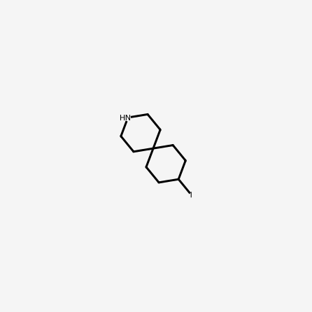 IC1CCC2(CCNCC2)CC1